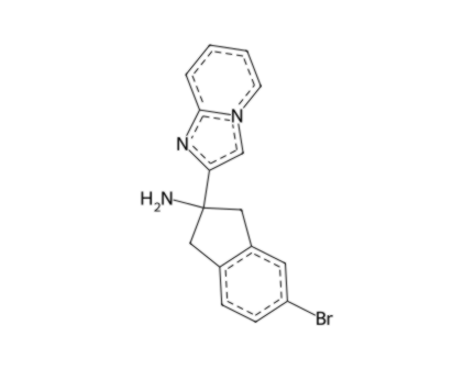 NC1(c2cn3ccccc3n2)Cc2ccc(Br)cc2C1